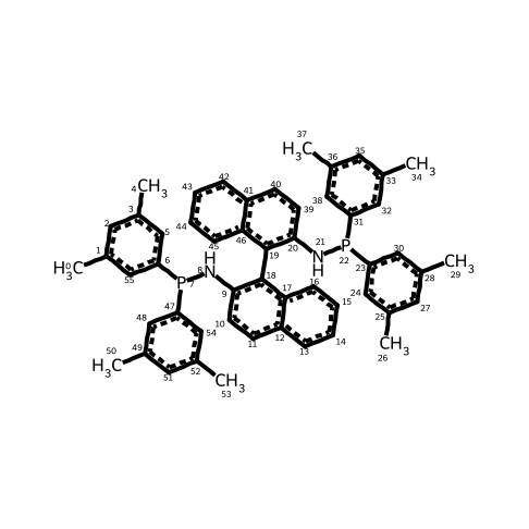 Cc1cc(C)cc(P(Nc2ccc3ccccc3c2-c2c(NP(c3cc(C)cc(C)c3)c3cc(C)cc(C)c3)ccc3ccccc23)c2cc(C)cc(C)c2)c1